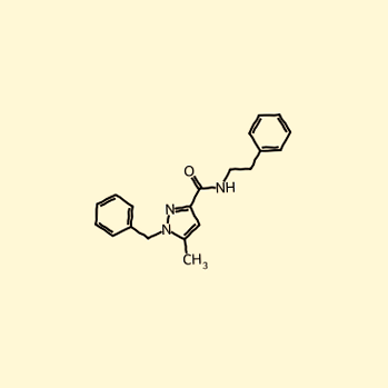 Cc1cc(C(=O)NCCc2ccccc2)nn1Cc1ccccc1